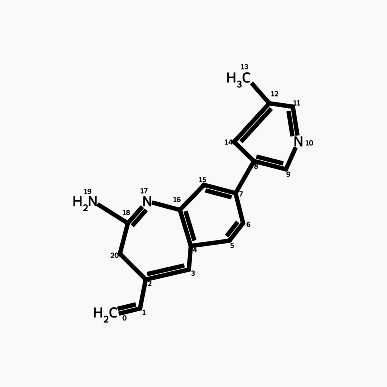 C=CC1=Cc2ccc(-c3cncc(C)c3)cc2N=C(N)C1